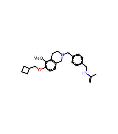 C=C(C)NCc1ccc(CN2CCc3c(ccc(OCC4CCC4)c3OC)C2)cc1